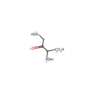 CCCCCCCCCCCC(=O)C(CCCCCCCCCC)C(=O)O